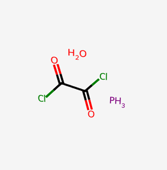 O.O=C(Cl)C(=O)Cl.P